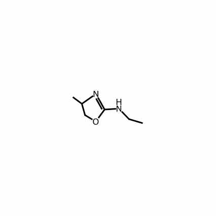 CCNC1=NC(C)CO1